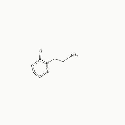 NCCn1ncccc1=O